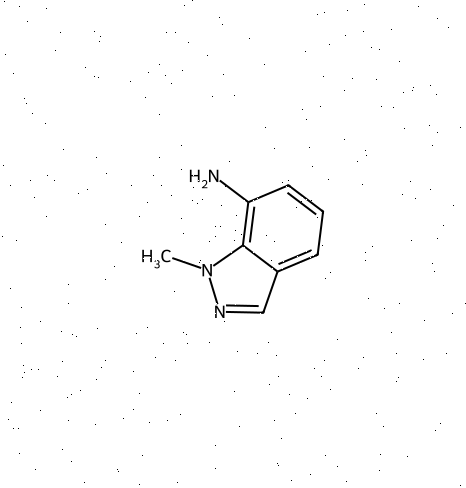 Cn1ncc2cccc(N)c21